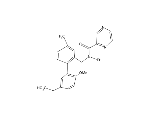 CCN(Cc1cc(C(F)(F)F)ccc1-c1cc(CC(=O)O)ccc1OC)C(=O)c1cnccn1